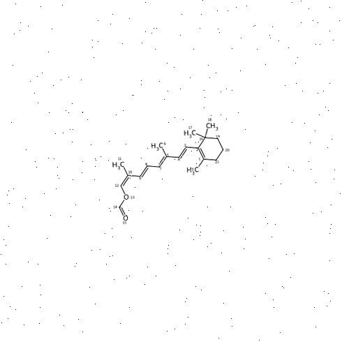 CC1=C(/C=C/C(C)=C/C=C/C(C)=C\OC=O)C(C)(C)CCC1